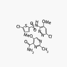 COc1cc(Cl)nnc1NS(=O)(=O)c1ccc(Cl)s1.COc1cnc(C)nc1C(N)=O